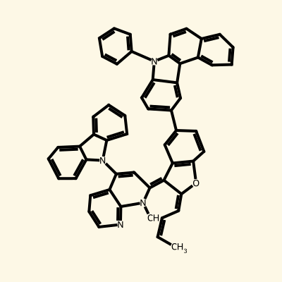 C\C=C/C=c1/oc2ccc(-c3ccc4c(c3)c3c5ccccc5ccc3n4-c3ccccc3)cc2/c1=C1\C=C(n2c3ccccc3c3ccccc32)c2cccnc2N1C